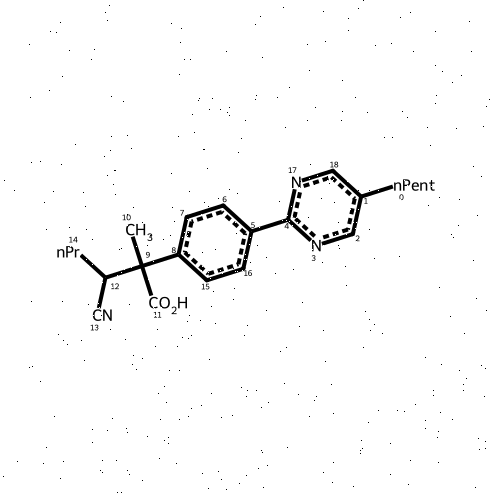 CCCCCc1cnc(-c2ccc(C(C)(C(=O)O)C(C#N)CCC)cc2)nc1